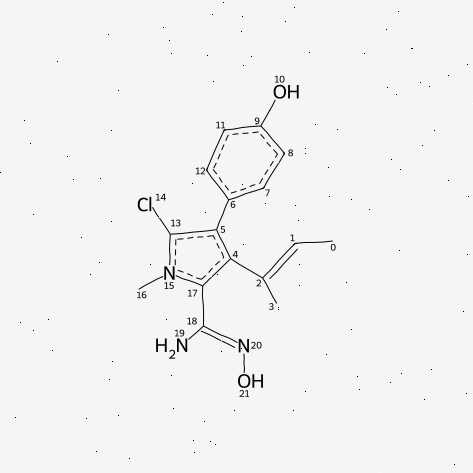 CC=C(C)c1c(-c2ccc(O)cc2)c(Cl)n(C)c1C(N)=NO